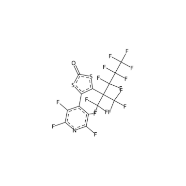 O=c1sc(-c2c(F)c(F)nc(F)c2F)c(C(C(F)(F)F)(C(F)(F)F)C(F)(F)C(F)(F)C(F)(F)F)s1